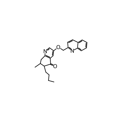 CCCCC1C(=O)c2cc(OCc3ccc4ccccc4n3)cnc2CC1C